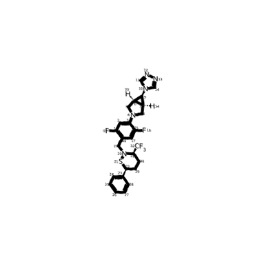 Fc1cc(N2C[C@@H]3[C@H](C2)[C@@H]3n2cnnc2)c(F)cc1CN1S[C@H](c2ccccc2)CC[C@@H]1C(F)(F)F